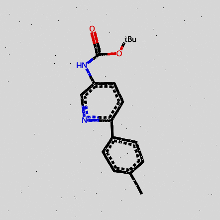 Cc1ccc(-c2ccc(NC(=O)OC(C)(C)C)cn2)cc1